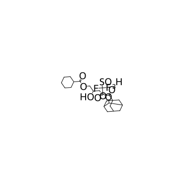 O=C(OCC(O)COC(=O)C12CC3CC(C1)C(OC(=O)C(F)(F)S(=O)(=O)O)C(C3)C2)C1CCCCC1